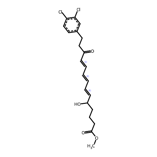 COC(=O)CCCC(O)/C=C/C=C/C=C/C(=O)CCc1ccc(Cl)c(Cl)c1